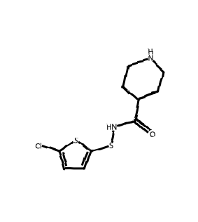 O=C(NSc1ccc(Cl)s1)C1CCNCC1